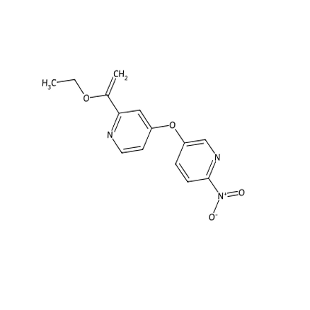 C=C(OCC)c1cc(Oc2ccc([N+](=O)[O-])nc2)ccn1